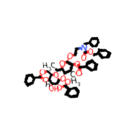 CCC1O[C@@H](OCCN(Cc2ccccc2)C(=O)OCc2ccccc2)C(OC(=O)c2ccccc2)[C@@H](C)[C@@H]1O[C@@H]1OC2COC(c3ccccc3)O[C@H]2[C@H](O)C1OC(=O)c1ccccc1